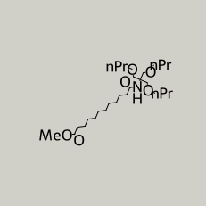 CCCOCC(COCCC)(COCCC)NC(=O)CCCCCCCCCCC(=O)OC